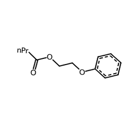 [CH2]CCC(=O)OCCOc1ccccc1